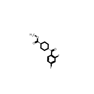 COC(=O)[C@H]1CC[C@H](C(=O)c2ccc(F)cc2F)CC1